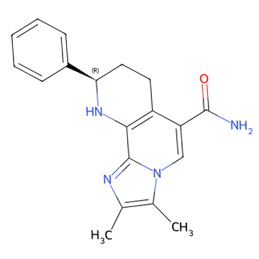 Cc1nc2c3c(c(C(N)=O)cn2c1C)CC[C@H](c1ccccc1)N3